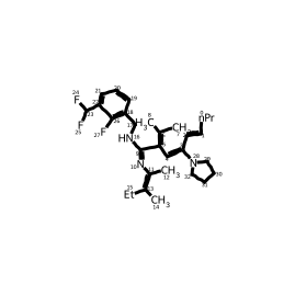 CCC/C=C/C(=C\C(=C(C)C)/C(=N\C(C)=C(\C)CC)NCc1cccc(C(F)F)c1F)N1CCCC1